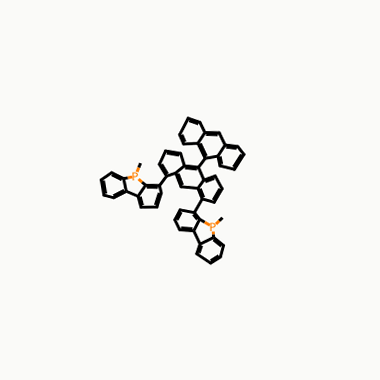 Cp1c2ccccc2c2cccc(-c3cccc4c(-c5c6ccccc6cc6ccccc56)c5cccc(-c6cccc7c8ccccc8p(C)c67)c5cc34)c21